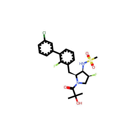 CC(C)(O)C(=O)N1C[C@H](F)[C@H](NS(C)(=O)=O)[C@@H]1Cc1cccc(-c2cccc(Cl)c2)c1F